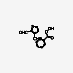 O=C(OO)c1ccccc1.O=Cc1ccsc1C=O